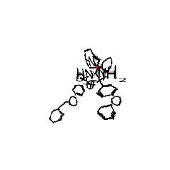 NC1CC2CCC(C1)N2C(=O)[C@@H](NS(=O)(=O)c1ccc(OCC2CCCCC2)cc1)C(F)(F)c1ccc(Oc2ccccc2)cc1